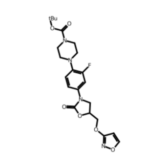 CC(C)(C)OC(=O)N1CCN(c2ccc(N3CC(COc4ccon4)OC3=O)cc2F)CC1